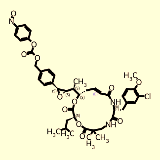 COc1ccc(C[C@H]2NC(=O)/C=C/C[C@@H]([C@H](C)[C@@H]3O[C@H]3c3ccc(COC(=O)Oc4ccc(N=O)cc4)cc3)OC(=O)[C@H](CC(C)C)OC(=O)C(C)(C)CNC2=O)cc1Cl